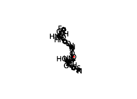 Cc1ncsc1-c1ccc(CNC(=O)[C@@H]2C[C@@H](O)CN2C(=O)[C@@H](NC(=O)COCCn2cc(COC3CCC(NC(=O)c4n[nH]cc4NC(=O)c4c(F)cccc4F)CC3)nn2)C(C)(C)C)cc1